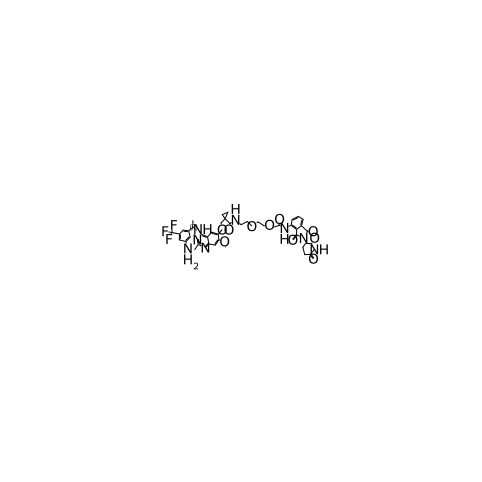 COc1cc2nc(C)nc(N[C@H](C)c3cc(N)cc(C(F)(F)F)c3)c2cc1OCC1(C(=O)NCCOCCOCC(=O)Nc2cccc3c2C(=O)N(C2CCC(=O)NC2=O)C3=O)CC1